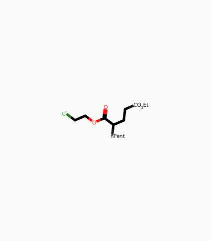 CCCCCC(CCC(=O)OCC)C(=O)OCCCl